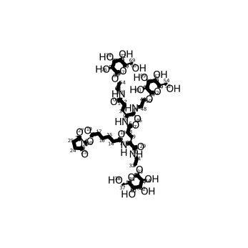 O=C(CC[C@H](NC(=O)CC[C@H](NC(=O)CCCCC(=O)ON1C(=O)CCC1=O)C(=O)NCCO[C@H]1O[C@H](CO)[C@@H](O)[C@H](O)[C@@H]1O)C(=O)NCCO[C@H]1O[C@H](CO)[C@@H](O)[C@H](O)[C@@H]1O)NCCO[C@H]1O[C@H](CO)[C@@H](O)[C@H](O)[C@@H]1O